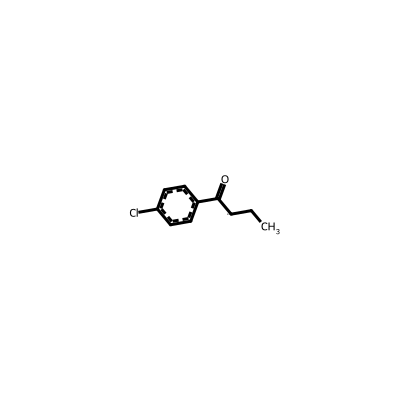 CC[CH]C(=O)c1ccc(Cl)cc1